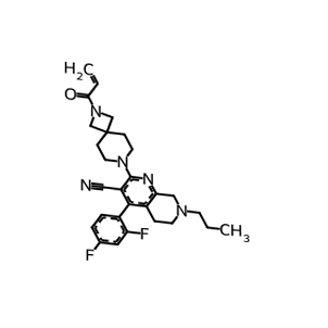 C=CC(=O)N1CC2(CCN(c3nc4c(c(-c5ccc(F)cc5F)c3C#N)CCN(CCC)C4)CC2)C1